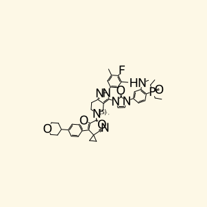 CCP(=O)(CC)c1ccc(-n2ccn(-c3c4c(nn3-c3cc(C)c(F)c(C)c3)CCN(C(=O)c3oc5cc(C6CCOCC6)ccc5c3C3(C#N)CC3)[C@H]4C)c2=O)cc1NC